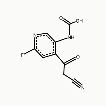 N#CCC(=O)c1cc(F)ncc1NC(=O)O